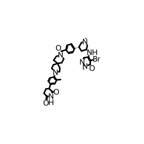 Cc1cc(C2CCC(=O)NC2=O)ccc1N1CCC2(CCN(C(=O)c3ccc([C@H]4C[C@@H](Nc5cnn(C)c(=O)c5Br)CN(C)C4)cc3)CC2)CC1